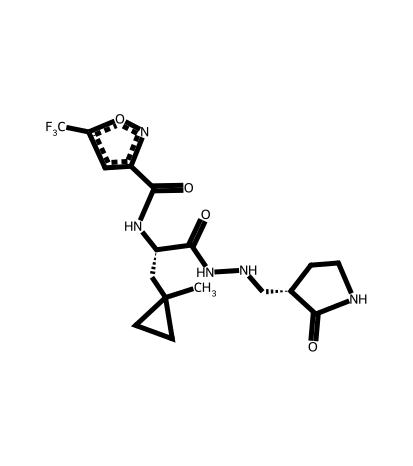 CC1(C[C@H](NC(=O)c2cc(C(F)(F)F)on2)C(=O)NNC[C@@H]2CCNC2=O)CC1